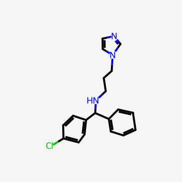 Clc1ccc(C(NCCCn2ccnc2)c2ccccc2)cc1